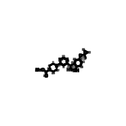 COC(=O)N1CCN(c2cc([C@@H]3NNc4ccc(OC5(C)CC5)cc43)ncn2)CC1